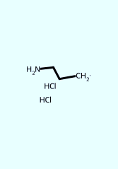 Cl.Cl.[CH2]CCN